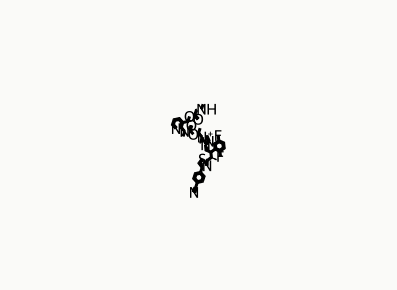 CNCC(=O)OCc1cccnc1N(C)C(=O)OC(C)[n+]1cnn(CC(c2cc(F)ccc2F)[C@@H](C)c2nc(-c3ccc(C#N)cc3)cs2)c1